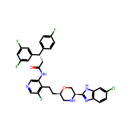 O=C(C[C@@H](c1ccc(F)cc1)c1cc(F)cc(F)c1)Nc1cncc(F)c1CC[C@@H]1CN[C@H](c2nc3ccc(Cl)cc3[nH]2)CO1